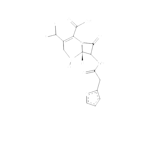 O=C(Cc1cccs1)NC1C(=O)N2C(C(=O)O)=C(C(F)F)C[S+]([O-])[C@@H]12